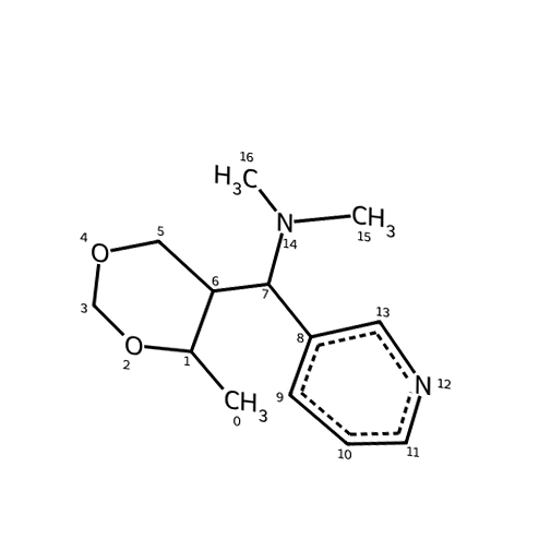 CC1OCOCC1C(c1cccnc1)N(C)C